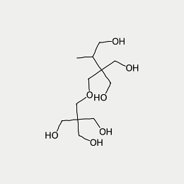 CC(CO)C(CO)(CO)COCC(CO)(CO)CO